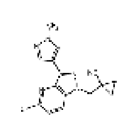 N#CC1(Cn2nc(-c3cnn(C(F)(F)F)c3)c3nc(Cl)ccc32)CC1